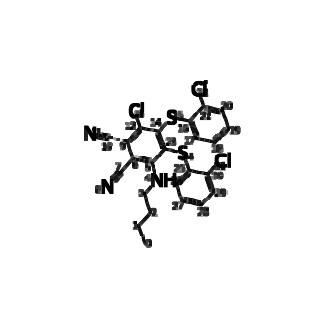 CCCCNc1c(C#N)c(C#N)c(Cl)c(Sc2ccccc2Cl)c1Sc1ccccc1Cl